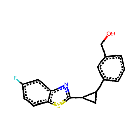 OCc1cccc(C2CC2c2nc3cc(F)ccc3s2)c1